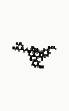 CCN(CC)CCN1CC(=O)N2C(c3cccc(O)c3)c3[nH]c4ccc(OC)cc4c3CC2(C)C1=O